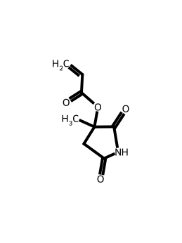 C=CC(=O)OC1(C)CC(=O)NC1=O